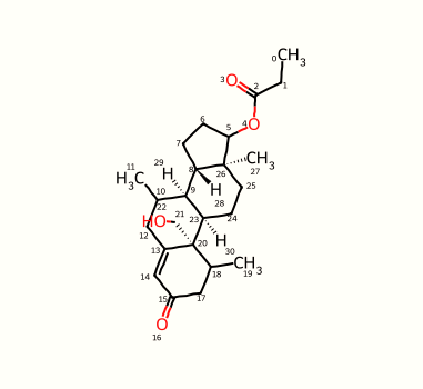 CCC(=O)OC1CC[C@H]2[C@@H]3C(C)CC4=CC(=O)CC(C)[C@]4(CO)[C@@H]3CC[C@]12C